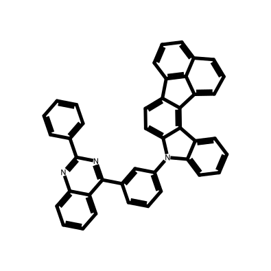 c1ccc(-c2nc(-c3cccc(-n4c5ccccc5c5c6c(ccc54)-c4cccc5cccc-6c45)c3)c3ccccc3n2)cc1